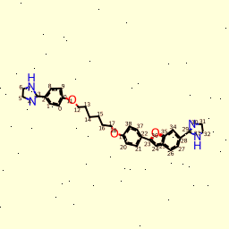 c1cc(C2=NCCN2)ccc1OCCCCCCOc1ccc(-c2cc3ccc(C4=NCCN4)cc3o2)cc1